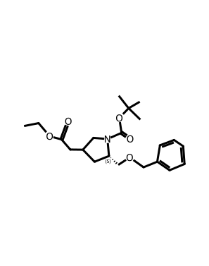 CCOC(=O)CC1C[C@@H](COCc2ccccc2)N(C(=O)OC(C)(C)C)C1